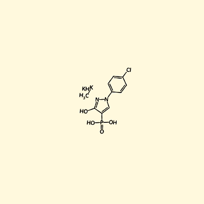 O=P(O)(O)c1cn(-c2ccc(Cl)cc2)nc1O.[CH3][K].[KH]